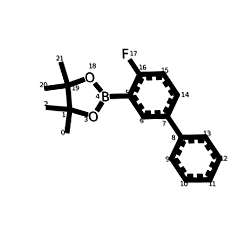 CC1(C)OB(c2cc(-c3ccccc3)ccc2F)OC1(C)C